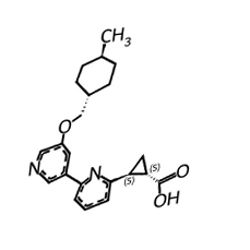 C[C@H]1CC[C@H](COc2cncc(-c3cccc([C@H]4C[C@@H]4C(=O)O)n3)c2)CC1